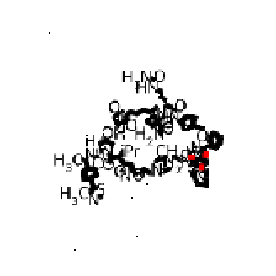 Cc1ncsc1-c1ccc([C@H](C)NC(=O)[C@@H]2C[C@@H](O)CN2C(=O)C(c2cc(OCCN3CCN(CCOc4cc(N5C6CCC5CN(c5cc(-c7ccccc7OCc7ccc(NC(=O)[C@H](CCCNC(N)=O)N(CCCCCN8C(=O)C=CC8=O)C(=O)C8(C(N)=O)CCC8)cc7)nnc5N)C6)ccn4)C(C)C3)no2)C(C)C)cc1